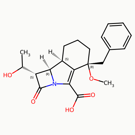 CO[C@@]1(Cc2ccccc2)CCC[C@H]2C1=C(C(=O)O)N1C(=O)[C@H](C(C)O)[C@@H]21